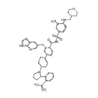 C=C(C)c1ccccc1C1CCCN1C1CC=C(c2ccc(C(=O)NS(=O)(=O)c3ccc(NCC4CCOCC4)c([N+](=O)[O-])c3)c(Oc3cnc4[nH]ccc4c3)c2)CC1